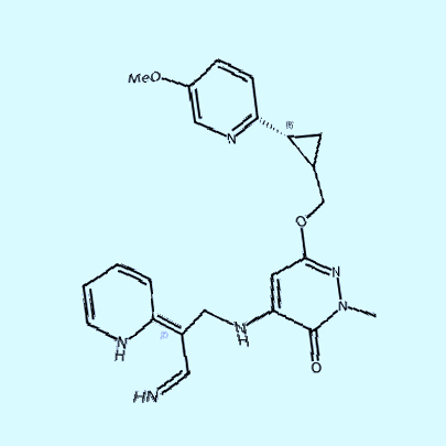 COc1ccc([C@@H]2CC2COc2cc(NC/C(C=N)=C3\C=CC=CN3)c(=O)n(C)n2)nc1